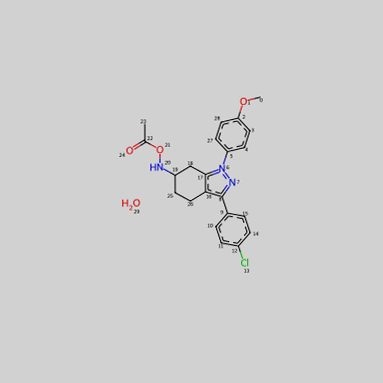 COc1ccc(-n2nc(-c3ccc(Cl)cc3)c3c2CC(NOC(C)=O)CC3)cc1.O